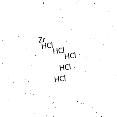 Cl.Cl.Cl.Cl.Cl.[Zr]